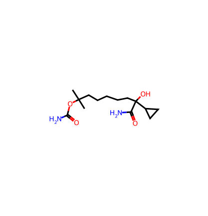 CC(C)(CCCCCC(O)(C(N)=O)C1CC1)OC(N)=O